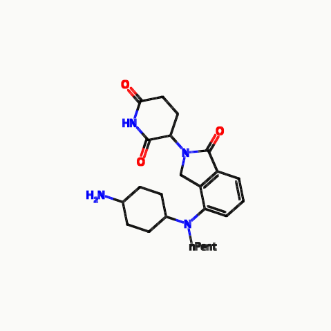 CCCCCN(c1cccc2c1CN(C1CCC(=O)NC1=O)C2=O)C1CCC(N)CC1